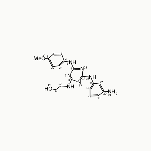 COc1ccc(Nc2nc(NCCO)nc(Nc3cccc(N)c3)n2)cc1